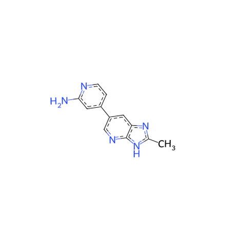 Cc1nc2cc(-c3ccnc(N)c3)cnc2[nH]1